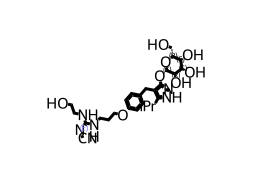 CC(C)c1[nH]nc(O[C@@H]2O[C@H](CO)[C@@H](O)[C@H](O)[C@H]2O)c1Cc1ccc(OCCCN/C(=N\C#N)NCCO)cc1